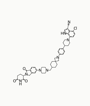 N#Cc1c[nH]c2c(N3CCC(c4ccc(N5CC6(CCC(CN7CCN(c8ccc9c(c8)CN(C8CCC(=O)NC8=O)C9=O)CC7)CC6)C5)cc4)CC3)ccc(Cl)c12